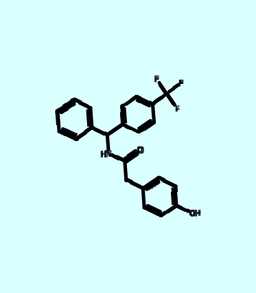 O=C(Cc1ccc(O)cc1)NC(c1ccccc1)c1ccc(C(F)(F)F)cc1